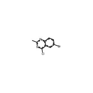 Cc1nc(Cl)c2cc(Br)ccc2n1